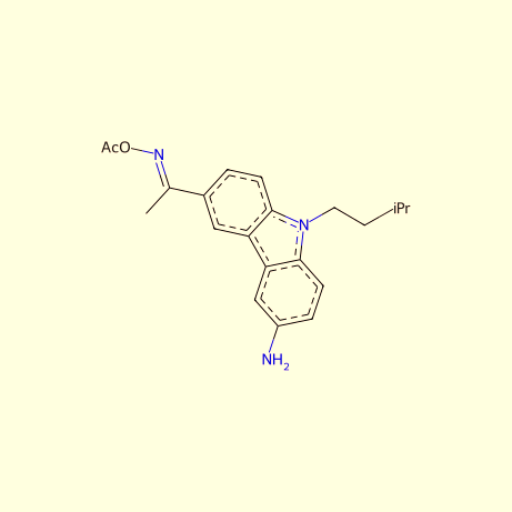 CC(=O)O/N=C(\C)c1ccc2c(c1)c1cc(N)ccc1n2CCC(C)C